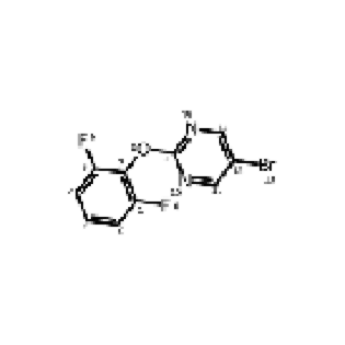 Fc1cccc(F)c1Oc1ncc(Br)cn1